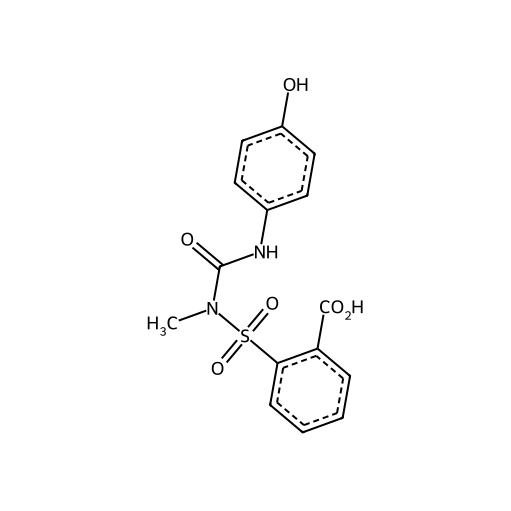 CN(C(=O)Nc1ccc(O)cc1)S(=O)(=O)c1ccccc1C(=O)O